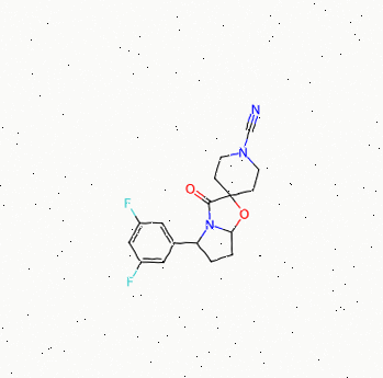 N#CN1CCC2(CC1)OC1CCC(c3cc(F)cc(F)c3)N1C2=O